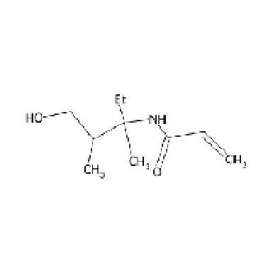 C=CC(=O)NC(C)(CC)C(C)CO